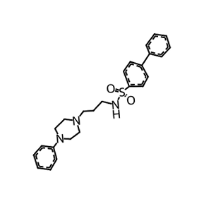 O=S(=O)(NCCCN1CCN(c2ccccc2)CC1)c1ccc(-c2ccccc2)cc1